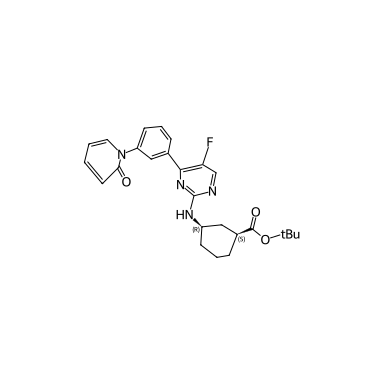 CC(C)(C)OC(=O)[C@H]1CCC[C@@H](Nc2ncc(F)c(-c3cccc(-n4ccccc4=O)c3)n2)C1